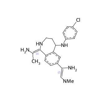 CN/C=C(\N)c1ccc2c(c1)C(Nc1ccc(Cl)cc1)CCN/C2=C(/C)N